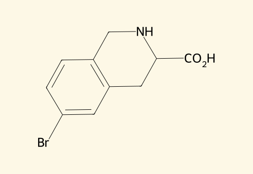 O=C(O)C1Cc2cc(Br)ccc2CN1